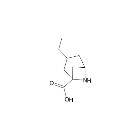 CCC1CC2CC(C(=O)O)(C1)N2